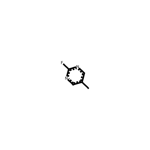 Cc1[c]nc(F)nc1